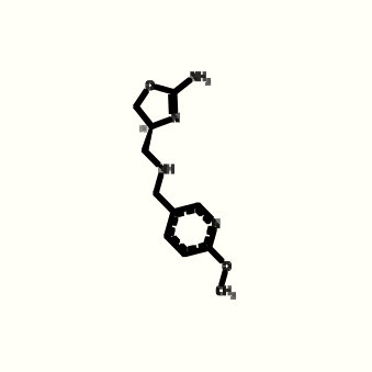 COc1ccc(CNC[C@H]2COC(N)=N2)cn1